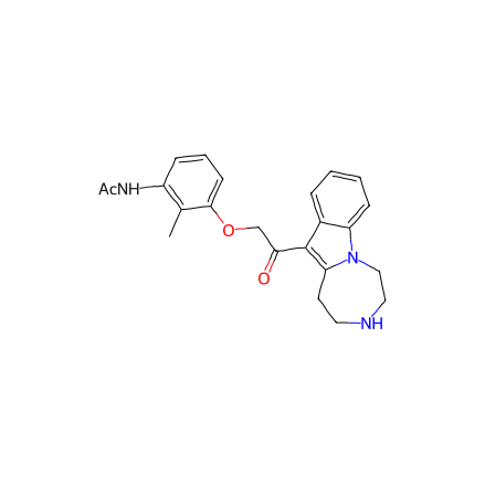 CC(=O)Nc1cccc(OCC(=O)c2c3n(c4ccccc24)CCNCC3)c1C